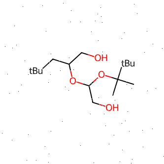 CC(C)(C)CC(CO)OC(CO)OC(C)(C)C(C)(C)C